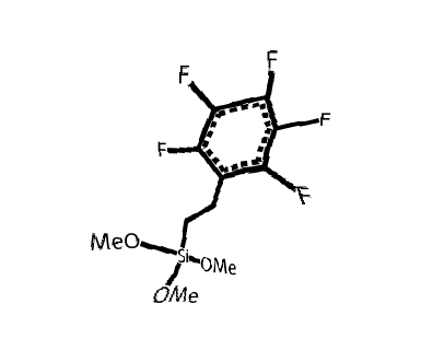 CO[Si](CCc1c(F)c(F)c(F)c(F)c1F)(OC)OC